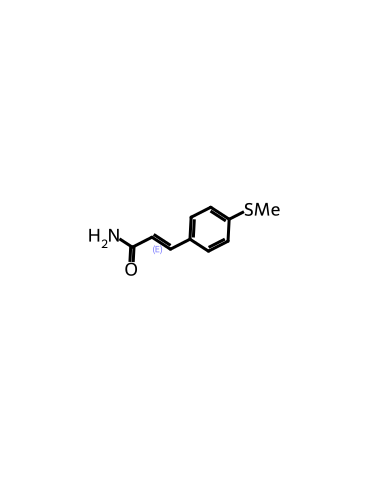 CSc1ccc(/C=C/C(N)=O)cc1